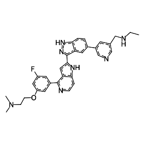 CCNCc1cncc(-c2ccc3[nH]nc(-c4cc5c(-c6cc(F)cc(OCCN(C)C)c6)nccc5[nH]4)c3c2)c1